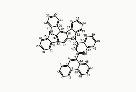 c1ccc2c(c1)cc(-c1nc(-n3c4ccccc4c4c5c6ccccc6n6c7ccccc7c(cc43)c56)c3ccccc3n1)c1ccccc12